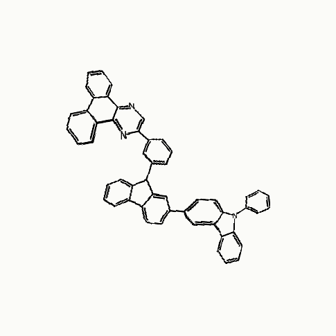 c1ccc(-n2c3ccccc3c3cc(-c4ccc5c(c4)C(c4cccc(-c6cnc7c8ccccc8c8ccccc8c7n6)c4)c4ccccc4-5)ccc32)cc1